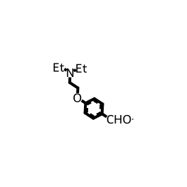 CCN(CC)CCOc1ccc([C]=O)cc1